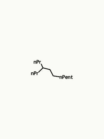 [CH2]CCC(CCC)CCCCCCC